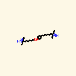 CCc1n[nH]c(CC)c1CCCCCCCOOc1ccc(CCCCCCCc2c(CC)n[nH]c2CC)cc1